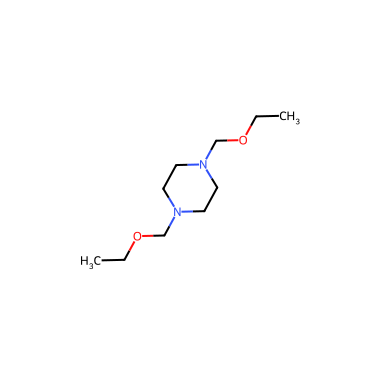 CCOCN1CCN(COCC)CC1